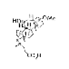 CO[C@@H]1CC[C@@]2(C)[C@@H](C1)C[C@@H](O)[C@@H]1[C@@H]2CC[C@]2(C)[C@@H]([C@H](C)CCC(=O)O)CC[C@@H]12